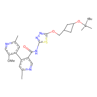 COc1cnc(C)cc1-c1cc(C)ncc1C(=O)Nc1nnc(OCC2CC(O[Si](C)(C)C(C)(C)C)C2)s1